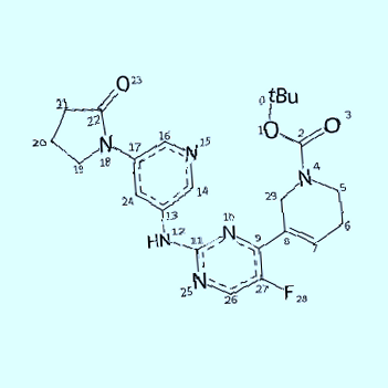 CC(C)(C)OC(=O)N1CCC=C(c2nc(Nc3cncc(N4CCCC4=O)c3)ncc2F)C1